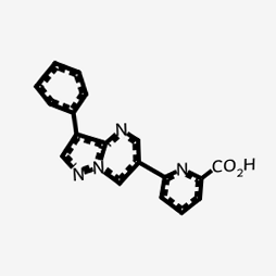 O=C(O)c1cccc(-c2cnc3c(-c4ccccc4)cnn3c2)n1